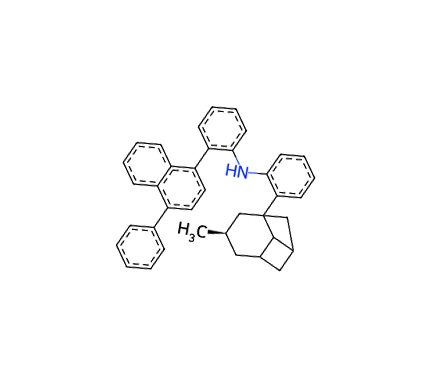 C[C@@H]1CC2CC3CC(c4ccccc4Nc4ccccc4-c4ccc(-c5ccccc5)c5ccccc45)(C1)C23